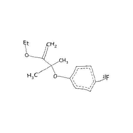 C=C(OCC)C(C)(C)Oc1ccc([18F])cc1